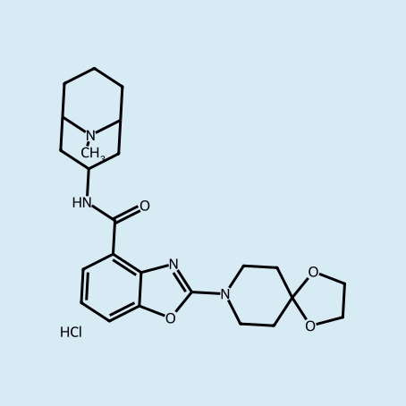 CN1C2CCCC1CC(NC(=O)c1cccc3oc(N4CCC5(CC4)OCCO5)nc13)C2.Cl